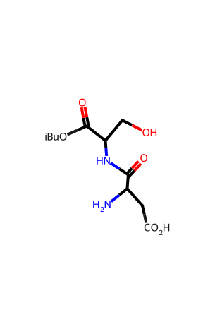 CC(C)COC(=O)C(CO)NC(=O)C(N)CC(=O)O